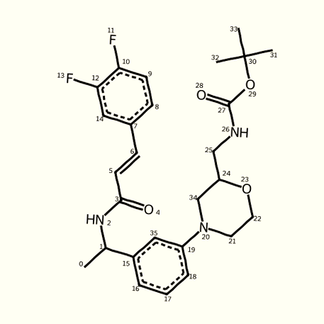 CC(NC(=O)C=Cc1ccc(F)c(F)c1)c1cccc(N2CCOC(CNC(=O)OC(C)(C)C)C2)c1